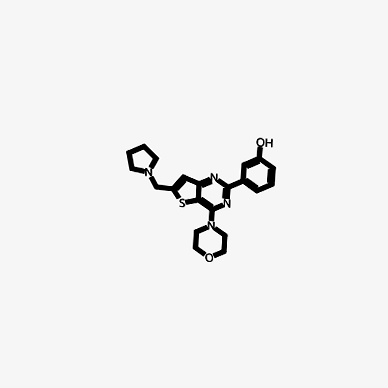 Oc1cccc(-c2nc(N3CCOCC3)c3sc(CN4CCCC4)cc3n2)c1